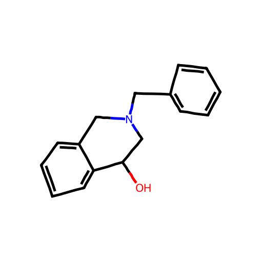 OC1CN(Cc2ccccc2)Cc2ccccc21